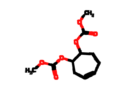 COC(=O)OC1CC=CCCC1OC(=O)OC